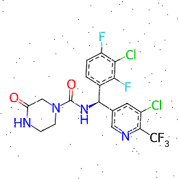 O=C1CN(C(=O)N[C@H](c2cnc(C(F)(F)F)c(Cl)c2)c2ccc(F)c(Cl)c2F)CCN1